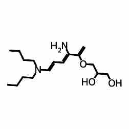 C=C(OCC(O)CO)/C(N)=C/C=C/N(CCCC)CCCC